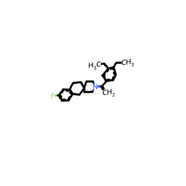 C=C(c1ccc(CC)c(CC)c1)N1CCC2(CCc3cc(F)ccc3C2)CC1